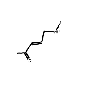 CC(=O)/C=C/CNI